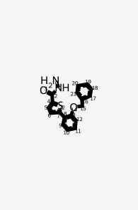 NNC(=O)c1ccc(-c2ccccc2OCc2ccccc2)s1